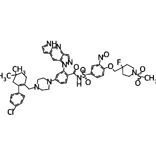 CC1(C)CCC(CN2CCN(c3ccc(C(=O)NS(=O)(=O)c4ccc(OCC5(F)CCN(S(C)(=O)=O)CC5)c(N=O)c4)c(-n4ncc5nc6[nH]ccc6cc54)c3)CC2)=C(c2ccc(Cl)cc2)C1